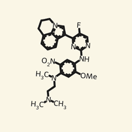 COc1cc(N(C)CCN(C)C)c([N+](=O)[O-])cc1Nc1ncc(F)c(-c2cn3c4c(cccc24)CCC3)n1